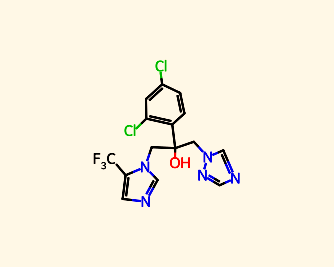 OC(Cn1cncn1)(Cn1cncc1C(F)(F)F)c1ccc(Cl)cc1Cl